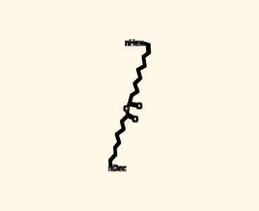 CCCCCC/C=C\CCCCCCCC(=O)OC(=O)CCCCCCCCCCCCCCCCC